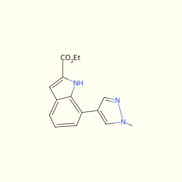 CCOC(=O)c1cc2cccc(-c3cnn(C)c3)c2[nH]1